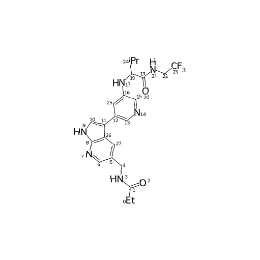 CCC(=O)NCc1cnc2[nH]cc(-c3cncc(NC(C(=O)NCC(F)(F)F)C(C)C)c3)c2c1